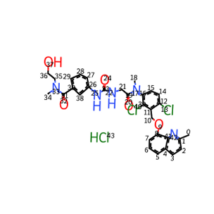 Cc1ccc2cccc(OCc3c(Cl)ccc(N(C)C(=O)CNC(=O)Nc4cccc(C(=O)N(C)CCO)c4)c3Cl)c2n1.Cl